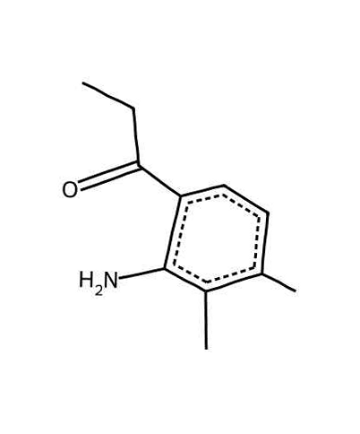 CCC(=O)c1ccc(C)c(C)c1N